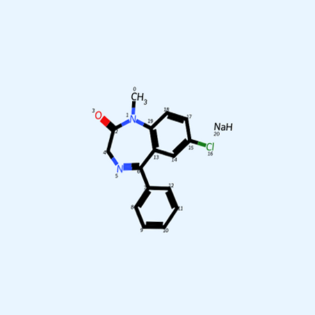 CN1C(=O)CN=C(c2ccccc2)c2cc(Cl)ccc21.[NaH]